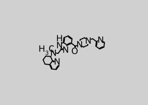 CN(Cc1nc2c(C(=O)N3CCN(Cc4ccccn4)CC3)cccc2[nH]1)C1CCCc2cccnc21